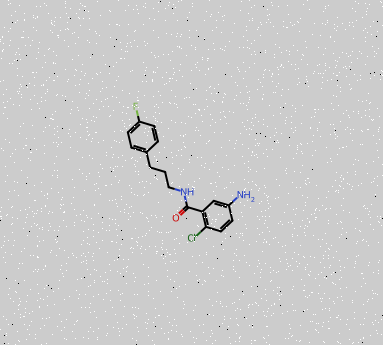 Nc1ccc(Cl)c(C(=O)NCCCc2ccc(F)cc2)c1